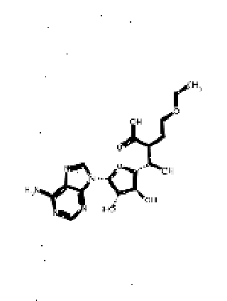 CCOCCC(C(=O)O)C(O)[C@H]1O[C@@H](n2cnc3c(N)ncnc32)[C@@H](O)[C@@H]1O